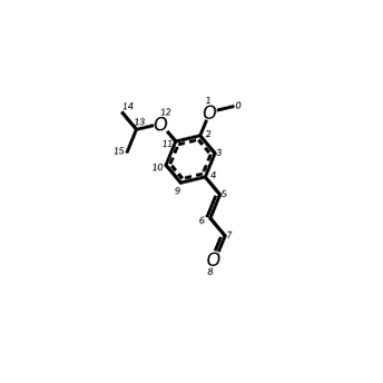 COc1cc(C=CC=O)ccc1OC(C)C